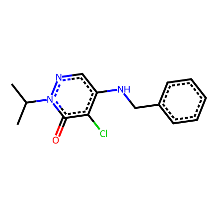 CC(C)n1ncc(NCc2ccccc2)c(Cl)c1=O